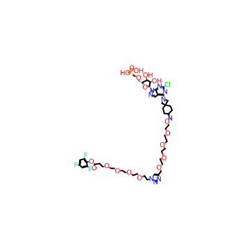 O=C(CCOCCOCCOCCOCCn1cc(COCCOCCOCCOCCON=C2CCC3(CC2)CN(c2nc(Cl)nc4c2cnn4[C@@H]2O[C@H](COCP(=O)(O)O)[C@@H](O)[C@H]2O)C3)nn1)Oc1c(F)cc(F)cc1F